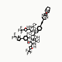 COC(=O)NC(C(=O)N[C@@H](Cc1ccc(C#Cc2cnc(N3CC4CCC(C3)N4C3COC3)nc2)cc1)[C@@H](O)CN(NC(=O)[C@@H](NC(=O)OC)C12CC(C(F)(F)F)(C1)C2)c1c(F)cc(-c2ccn(C(F)F)n2)cc1F)C12CC(C(F)(F)F)(C1)C2